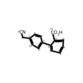 N#CCc1ccc(-c2ccccc2C(=O)O)cc1